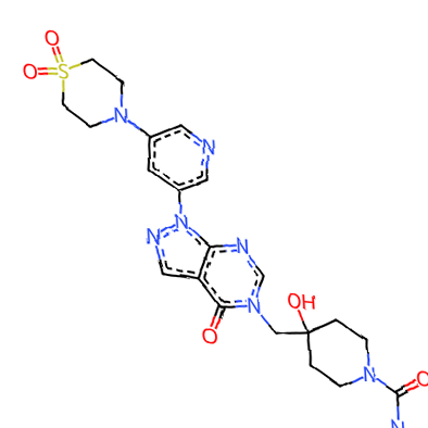 CN(C)C(=O)N1CCC(O)(Cn2cnc3c(cnn3-c3cncc(N4CCS(=O)(=O)CC4)c3)c2=O)CC1